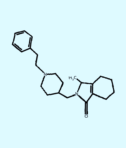 CC1C2=C(CCCC2)C(=O)N1CC1CCN(CCc2ccccc2)CC1